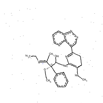 CC/N=C(\C)[C@](OC)(c1ccccc1)C(O)NC1=C(NC)CCC(c2cnnc3cccnc23)=N1